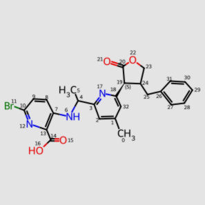 Cc1cc(C(C)Nc2ccc(Br)nc2C(=O)O)nc([C@H]2C(=O)OCC2Cc2ccccc2)c1